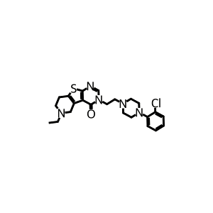 CCN1CCc2sc3ncn(CCN4CCN(c5ccccc5Cl)CC4)c(=O)c3c2C1